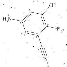 N#Cc1cc(N)cc(Cl)c1F